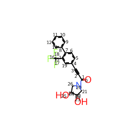 O=C(C#Cc1ccc(-c2ccccc2)c(C(F)(F)F)c1)N1C[C@@H](O)[C@@H](O)C1